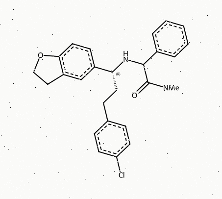 CNC(=O)C(N[C@H](CCc1ccc(Cl)cc1)c1ccc2c(c1)CCO2)c1ccccc1